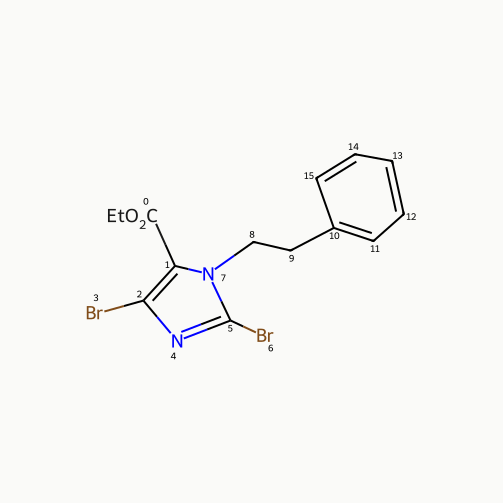 CCOC(=O)c1c(Br)nc(Br)n1CCc1ccccc1